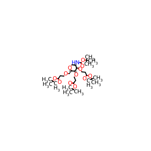 CC(C)(C)OC(=O)CCOC[C@H]1OC[C@H](NC(=O)OC(C)(C)C)[C@@H](OCCC(=O)OC(C)(C)C)[C@@H]1OCCC(=O)OC(C)(C)C